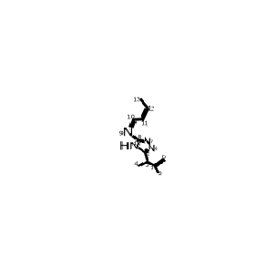 C=C(C)C(C)c1nnc(/N=C\C=C/C)[nH]1